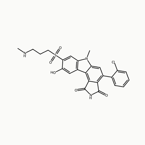 CNCCCS(=O)(=O)c1cc2c(cc1O)c1c3c(c(-c4ccccc4Cl)cc1n2C)C(=O)NC3=O